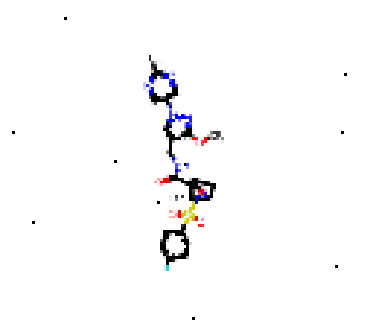 O=C(NCc1cn(-c2cnc(C(F)(F)F)nc2)nc1OC(F)(F)F)[C@@H]1C2CC(C2)N1S(=O)(=O)c1ccc(F)cc1